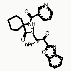 CCC[C@H](NC(=O)C1(NC(=O)c2cccnc2)CCCCC1)C(=O)c1nc2ccccc2o1